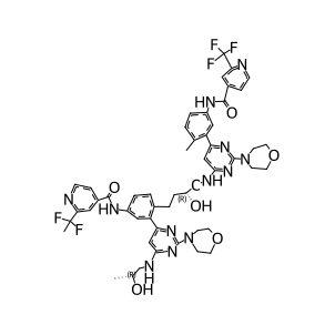 Cc1ccc(NC(=O)c2ccnc(C(F)(F)F)c2)cc1-c1cc(NC[C@H](O)CCc2ccc(NC(=O)c3ccnc(C(C)(F)F)c3)cc2-c2cc(NC[C@@H](C)O)nc(N3CCOCC3)n2)nc(N2CCOCC2)n1